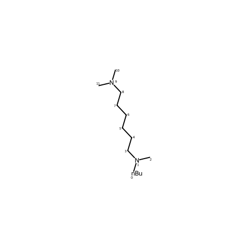 CCCCN(C)CCCCCCN(C)C